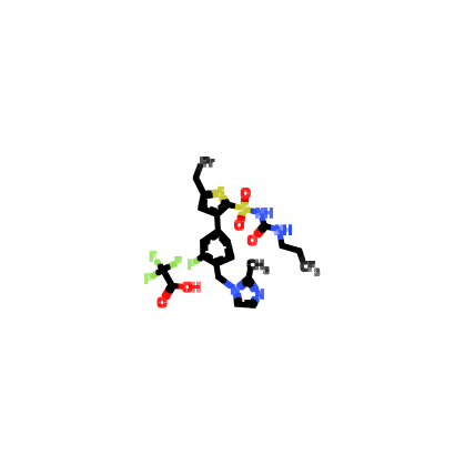 Cc1nccn1Cc1ccc(-c2cc(CC(C)C)sc2S(=O)(=O)NC(=O)NCCC(F)(F)F)cc1F.O=C(O)C(F)(F)F